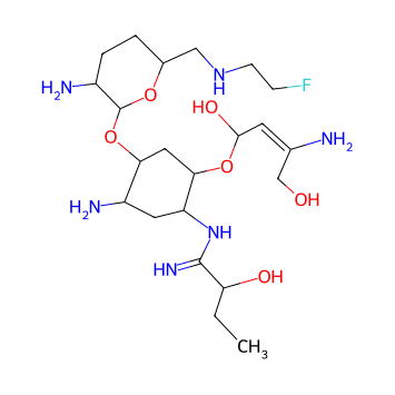 CCC(O)C(=N)NC1CC(N)C(OC2OC(CNCCF)CCC2N)CC1OC(O)/C=C(/N)CO